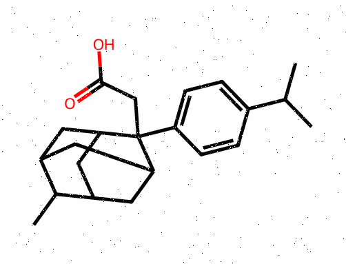 CC(C)c1ccc(C2(CC(=O)O)C3CC4CC2CC(C3)C4C)cc1